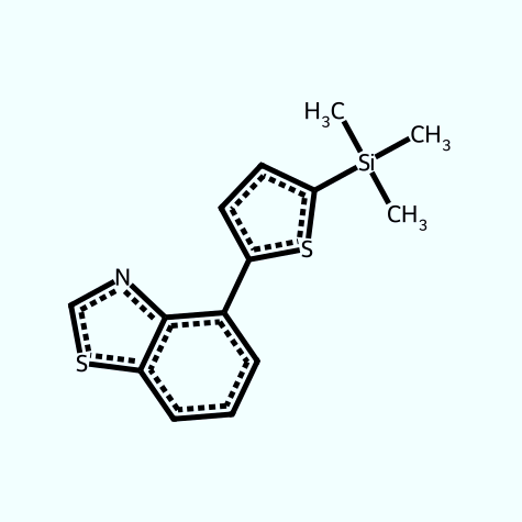 C[Si](C)(C)c1ccc(-c2cccc3scnc23)s1